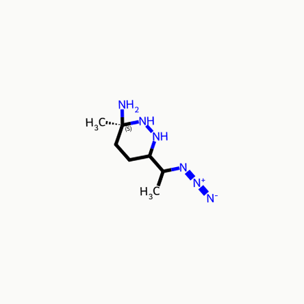 CC(N=[N+]=[N-])C1CC[C@@](C)(N)NN1